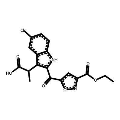 CCOC(=O)c1cc(C(=O)c2[nH]c3ccc(Cl)cc3c2C(C)C(=O)O)on1